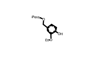 CCCC(C)OCc1ccc(O)c(OCC)c1